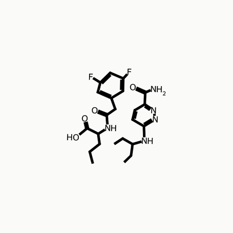 CCC(CC)Nc1ccc(C(N)=O)nn1.CCCC(NC(=O)Cc1cc(F)cc(F)c1)C(=O)O